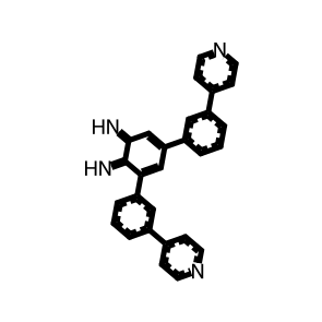 N=C1C=C(c2cccc(-c3ccncc3)c2)C=C(c2cccc(-c3ccncc3)c2)C1=N